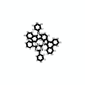 C1=CCC(c2nc(-c3ccccc3)nc(-n3c4c5ccccc5c5ccccc5c4c4ccc5c(c6ccc7ccccc7c6n5-c5ccccc5)c43)n2)C=C1